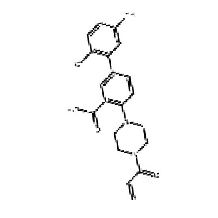 C=CC(=O)N1CCN(c2ccc(-c3cc(O)ccc3Cl)cc2C(N)=O)CC1